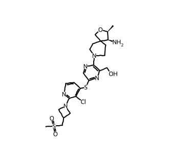 C[C@@H]1OCC2(CCN(c3ncc(Sc4ccnc(N5CC(CS(C)(=O)=O)C5)c4Cl)nc3CO)CC2)[C@@H]1N